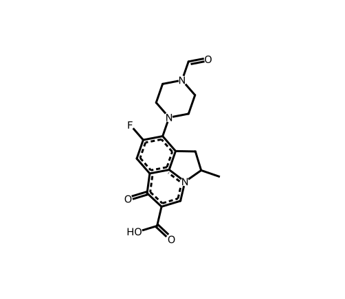 CC1Cc2c(N3CCN(C=O)CC3)c(F)cc3c(=O)c(C(=O)O)cn1c23